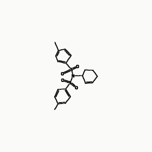 Cc1ccc(S(=O)(=O)N(C2C=CCCC2)S(=O)(=O)c2ccc(C)cc2)cc1